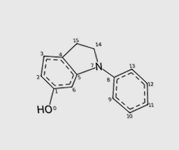 Oc1ccc2c(c1)N(c1ccccc1)CC2